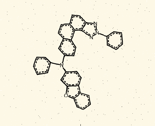 c1ccc(N(c2ccc3c(ccc4ccc5nn(-c6ccccc6)nc5c43)c2)c2ccc3c(c2)oc2ccccc23)cc1